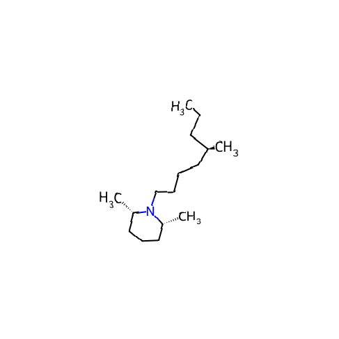 CCC[C@@H](C)CCCCN1[C@H](C)CCC[C@@H]1C